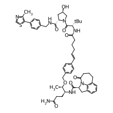 Cc1ncsc1-c1ccc(CNC(=O)[C@@H]2C[C@@H](O)CN2C(=O)[C@@H](NC(=O)CCC/C=C/c2ccc(CO[C@H](C)[C@H](CCC(N)=O)NC(=O)[C@@H]3Cc4cccc5c4N3C(=O)CCC5)cc2)C(C)(C)C)cc1